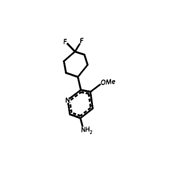 COc1cc(N)cnc1C1CCC(F)(F)CC1